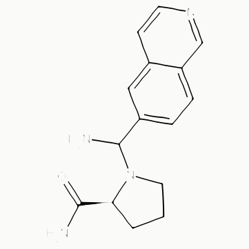 NC(=O)[C@@H]1CCCN1C(N)c1ccc2cnccc2c1